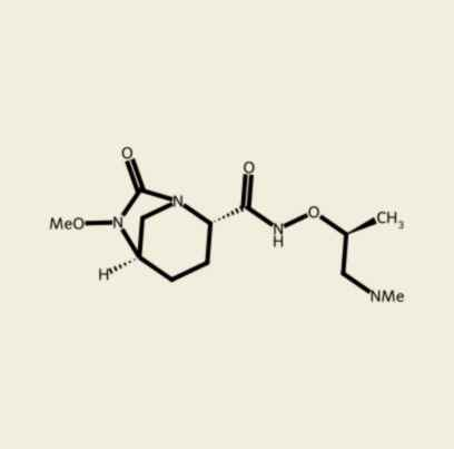 CNC[C@H](C)ONC(=O)[C@@H]1CC[C@@H]2CN1C(=O)N2OC